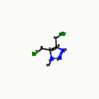 Cn1nnc(CBr)c1CBr